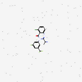 CC(N)c1nc2cccc(Cl)c2c(=O)n1-c1cc(F)cc(C(F)F)c1